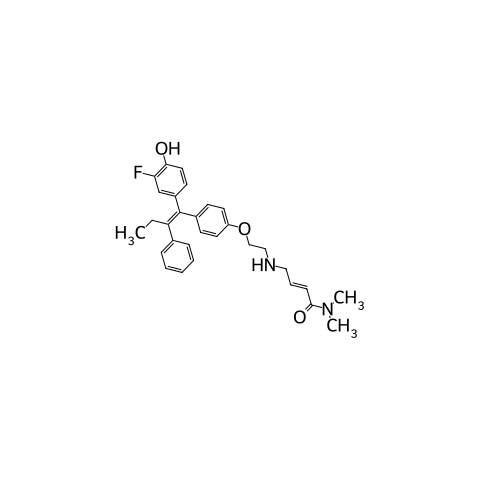 CC/C(=C(/c1ccc(OCCNC/C=C/C(=O)N(C)C)cc1)c1ccc(O)c(F)c1)c1ccccc1